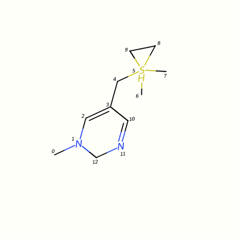 CN1C=C(C[SH]2(C)(C)CC2)C=NC1